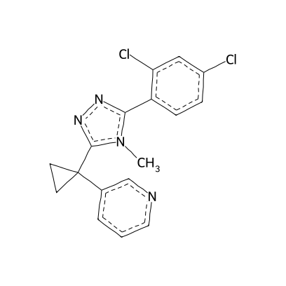 Cn1c(-c2ccc(Cl)cc2Cl)nnc1C1(c2cccnc2)CC1